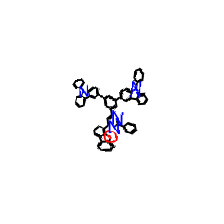 c1ccc(-c2nc(-c3cc(-c4ccc5c(c4)c4ccccc4n5-c4ccccc4)cc(-c4ccc5c(c4)c4ccccc4n5-c4ccccc4)c3)cc(-c3cccc4c3oc3ccccc34)n2)cc1